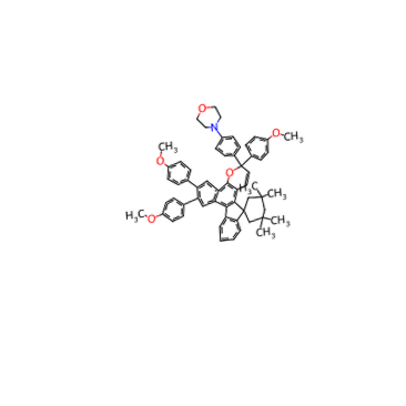 COc1ccc(-c2cc3c4c(c5c(c3cc2-c2ccc(OC)cc2)-c2ccccc2C52CC(C)(C)CC(C)(C)C2)C=CC(c2ccc(OC)cc2)(c2ccc(N3CCOCC3)cc2)O4)cc1